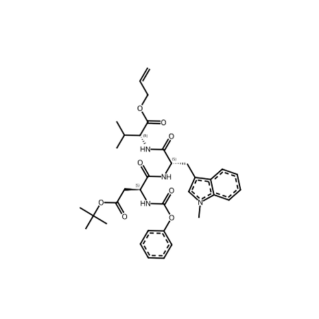 C=CCOC(=O)[C@H](NC(=O)[C@H](Cc1cn(C)c2ccccc12)NC(=O)[C@H](CC(=O)OC(C)(C)C)NC(=O)Oc1ccccc1)C(C)C